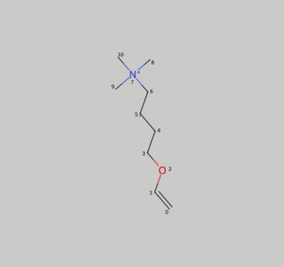 C=COCC[CH]C[N+](C)(C)C